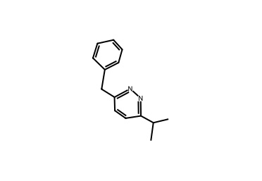 CC(C)c1ccc(Cc2ccccc2)nn1